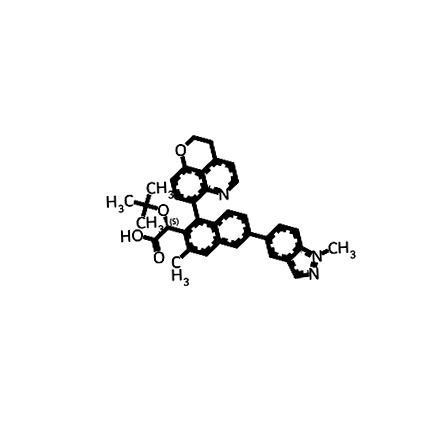 Cc1cc2cc(-c3ccc4c(cnn4C)c3)ccc2c(-c2ccc3c4c(ccnc24)CCO3)c1[C@H](OC(C)(C)C)C(=O)O